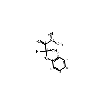 CCN(C)C(=O)C(C)(CC)Oc1ccccc1